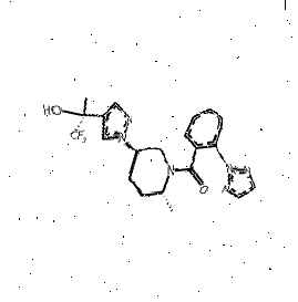 C[C@@H]1CC[C@@H](n2cc([C@](C)(O)C(F)(F)F)cn2)CN1C(=O)c1ccccc1-n1nccn1